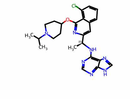 CC(C)N1CCC(Oc2nc([C@H](C)Nc3ncnc4[nH]cnc34)cc3cccc(Cl)c23)CC1